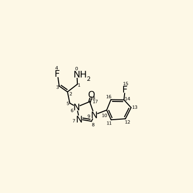 NC/C(=C\F)Cn1ncn(-c2cccc(F)c2)c1=O